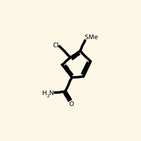 CSc1ccc(C(N)=O)cc1Cl